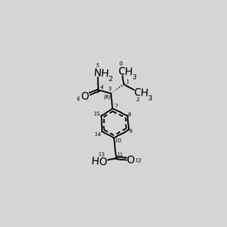 CC(C)[C@@H](C(N)=O)c1ccc(C(=O)O)cc1